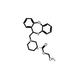 CCOC(=O)[C@@H]1CCCN(CC2Sc3ccccc3Oc3ccccc32)C1